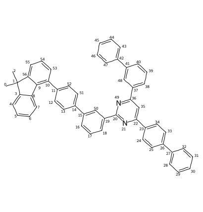 CC1(C)c2ccccc2-c2c(-c3ccc(-c4cccc(-c5nc(-c6ccc(-c7ccccc7)cc6)cc(-c6cccc(-c7ccccc7)c6)n5)c4)cc3)cccc21